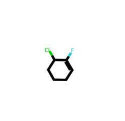 FC1=CCCCC1Cl